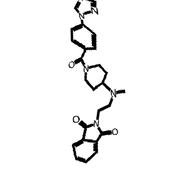 CN(CCN1C(=O)c2ccccc2C1=O)C1CCN(C(=O)c2ccc(-n3cncn3)cc2)CC1